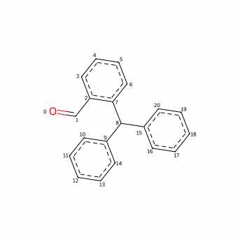 O=Cc1ccccc1C(c1ccccc1)c1ccccc1